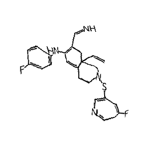 C=CC12CC(C=N)=C(Nc3ccc(F)cc3)C=C1CCN(Sc1cncc(F)c1)C2